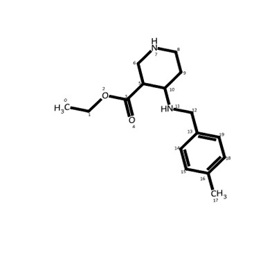 CCOC(=O)C1CNCCC1NCc1ccc(C)cc1